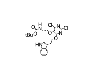 CC(C)(C)OC(=O)NCCOc1c(Cl)nc(Cl)nc1OCCc1c[nH]c2ccccc12